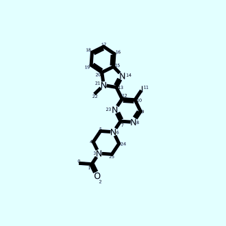 CC(=O)N1CCN(c2ncc(I)c(-c3nc4ccccc4n3C)n2)CC1